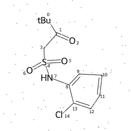 CC(C)(C)C(=O)CS(=O)(=O)Nc1ccccc1Cl